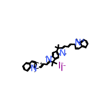 CN1C(=CC=Cc2ccc3ccccc3[n+]2C)C(C)(C)c2cc3c(cc21)C(C)(C)C(=CC=C[c+]1ccc2ccccc2n1C)N3C.[I-].[I-]